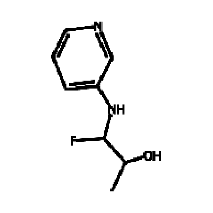 CC(O)C(F)Nc1cccnc1